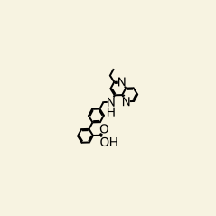 CCc1cc(NCc2ccc(-c3ccccc3C(=O)O)cc2)c2ncccc2n1